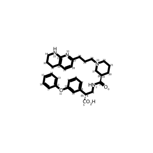 O=C(NC[C@H](C(=O)O)c1cccc(Oc2ccccc2)c1)[C@@H]1CCCN(CCCc2ccc3c(n2)NCCC3)C1